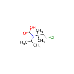 CC(C)N(C(=O)O)C(C)(C)CCCl